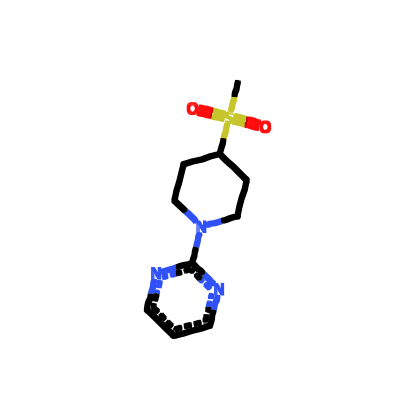 CS(=O)(=O)C1CCN(c2ncccn2)CC1